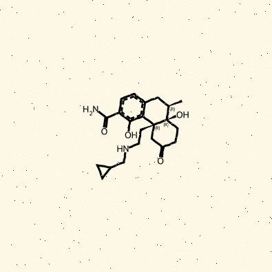 C[C@@H]1Cc2ccc(C(N)=O)c(O)c2[C@@]2(CCNCC3CC3)CC(=O)CC[C@@]12O